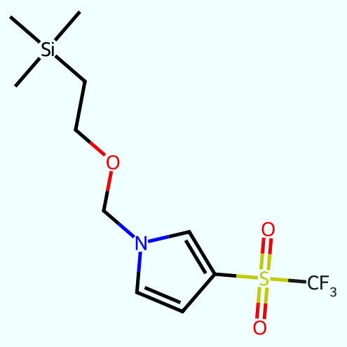 C[Si](C)(C)CCOCn1ccc(S(=O)(=O)C(F)(F)F)c1